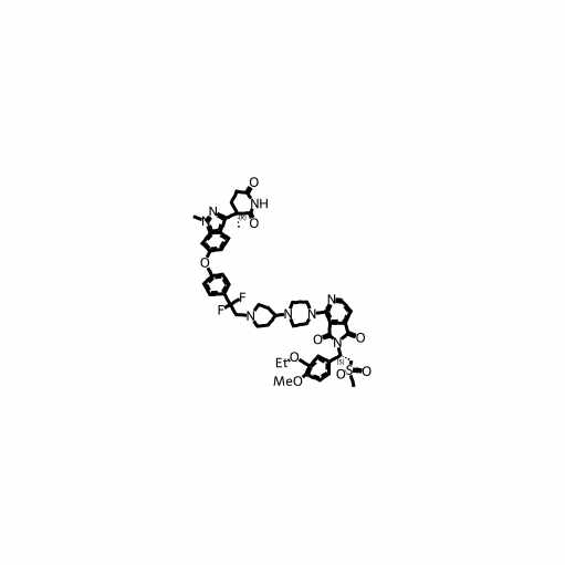 CCOc1cc([C@@H](CS(C)(=O)=O)N2C(=O)c3ccnc(N4CCN(C5CCN(CC(F)(F)c6ccc(Oc7ccc8c([C@@]9(C)CCC(=O)NC9=O)nn(C)c8c7)cc6)CC5)CC4)c3C2=O)ccc1OC